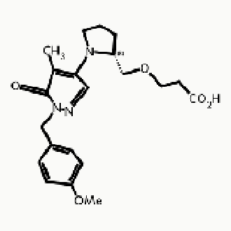 COc1ccc(Cn2ncc(N3CCC[C@@H]3COCCC(=O)O)c(C)c2=O)cc1